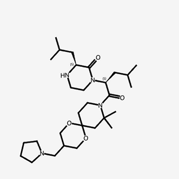 CC(C)C[C@@H]1NCCN([C@@H](CC(C)C)C(=O)N2CCC3(CC2(C)C)OCC(CN2CCCC2)CO3)C1=O